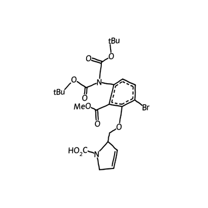 COC(=O)c1c(N(C(=O)OC(C)(C)C)C(=O)OC(C)(C)C)ccc(Br)c1OCC1C=CCN1C(=O)O